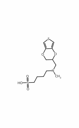 CN(CCCCS(=O)(=O)O)CC1COc2cscc2O1